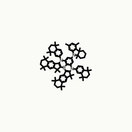 Cc1cc(C)c2c(c1)N(c1cc3c4c(c1)N(c1ccc5c(c1)C(C)(C)CCC5(C)C)C1=C(B4C4=C(c5cc6c(cc5C4(C)C)C(C)(C)CCC6(C)C)N3c3ccc4c(c3)C(C)(C)CCC4(C)C)c3cc4c(cc3C1(C)C)C(C)(C)CCC4(C)C)C1(C)CCCCC21C